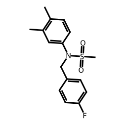 Cc1ccc(N(Cc2ccc(F)cc2)S(C)(=O)=O)cc1C